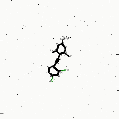 COc1cc(C)c(C#Cc2ccc(Br)cc2F)c(C)c1